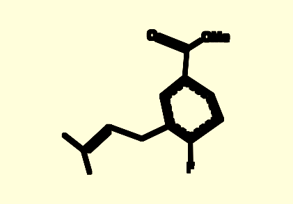 COC(=O)c1ccc(F)c(CC=C(C)C)c1